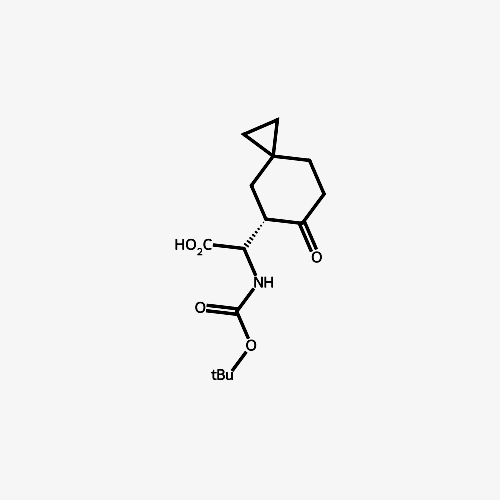 CC(C)(C)OC(=O)NC(C(=O)O)[C@@H]1CC2(CCC1=O)CC2